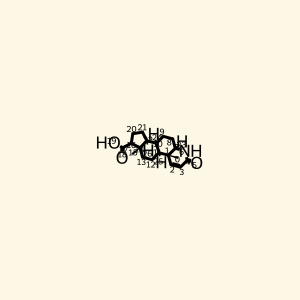 C[C@]12C=CC(=O)N[C@@H]1CC[C@@H]1[C@@H]2CC[C@]2(C)C(C(=O)O)CC[C@@H]12